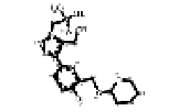 C[Si](C)(C)Cn1nnc(-c2ccc(Br)c(COC3CCCCO3)n2)c1CO